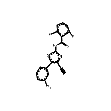 C#Cc1nc(NC(=O)c2c(F)cccc2F)sc1-c1cccc(C(F)(F)F)c1